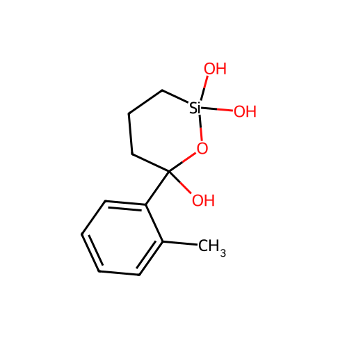 Cc1ccccc1C1(O)CCC[Si](O)(O)O1